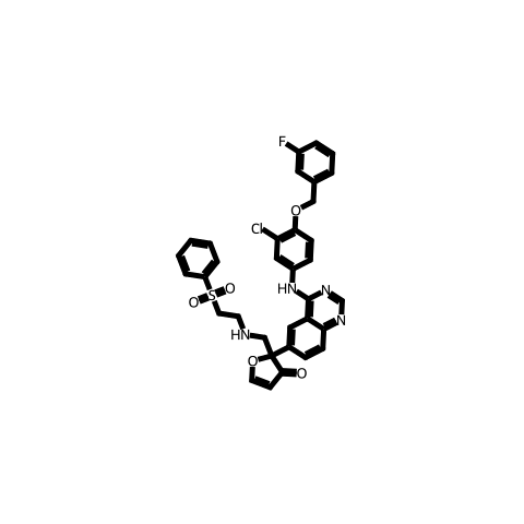 O=C1C=COC1(CNCCS(=O)(=O)c1ccccc1)c1ccc2ncnc(Nc3ccc(OCc4cccc(F)c4)c(Cl)c3)c2c1